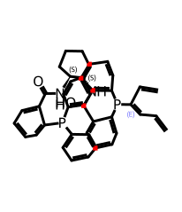 C=C/C=C(\C=C)P(c1ccccc1)c1ccccc1C(O)N[C@H]1CCCC[C@@H]1NC(=O)c1ccccc1P(c1ccccc1)c1ccccc1